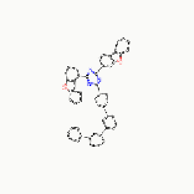 c1ccc(-c2cccc(-c3cccc(-c4ccc(-c5nc(-c6ccc7c(c6)oc6ccccc67)nc(-c6cccc7oc8ccccc8c67)n5)cc4)c3)c2)cc1